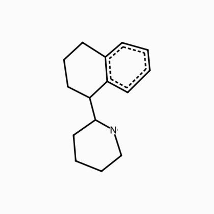 c1ccc2c(c1)CCCC2C1CCCC[N]1